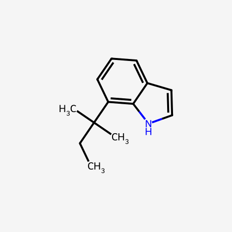 CCC(C)(C)c1cccc2cc[nH]c12